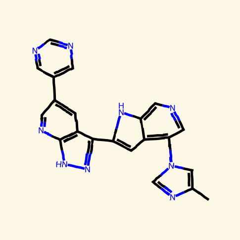 Cc1cn(-c2cncc3[nH]c(-c4n[nH]c5ncc(-c6cncnc6)cc45)cc23)cn1